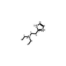 CCN(CC)CCc1nccs1